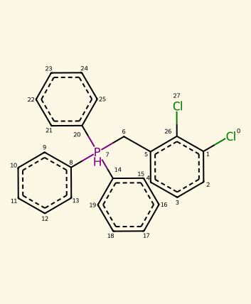 Clc1cccc(C[PH](c2ccccc2)(c2ccccc2)c2ccccc2)c1Cl